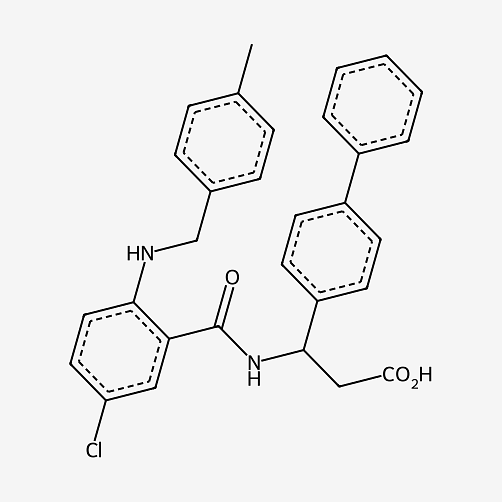 Cc1ccc(CNc2ccc(Cl)cc2C(=O)NC(CC(=O)O)c2ccc(-c3ccccc3)cc2)cc1